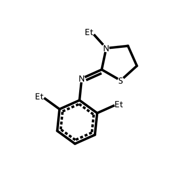 CCc1cccc(CC)c1N=C1SCCN1CC